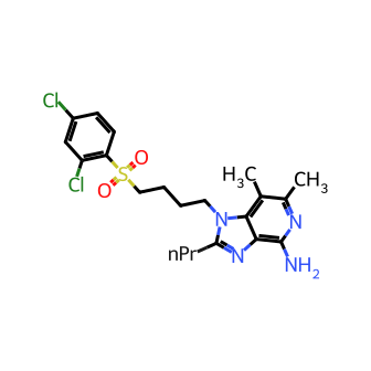 CCCc1nc2c(N)nc(C)c(C)c2n1CCCCS(=O)(=O)c1ccc(Cl)cc1Cl